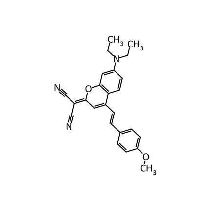 CCN(CC)c1ccc2c(c1)OC(=C(C#N)C#N)C=C2/C=C/c1ccc(OC)cc1